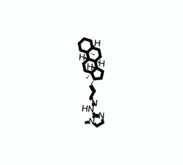 CN1CCN=C1N/N=C/C=C/[C@H]1CC[C@H]2[C@@H]3CC[C@@H]4CCCC[C@]4(C)[C@H]3CC[C@]12C